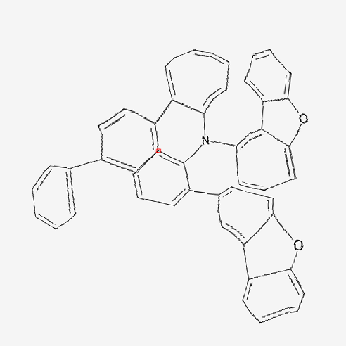 c1ccc(-c2ccc(-c3ccccc3N(c3ccccc3-c3ccc4oc5ccccc5c4c3)c3cccc4oc5ccccc5c34)cc2)cc1